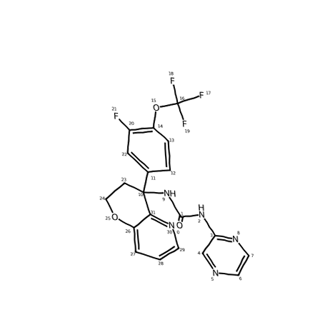 O=C(Nc1cnccn1)NC1(c2ccc(OC(F)(F)F)c(F)c2)CCOc2cccnc21